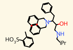 CC(C)CNCC(O)C(Cc1ccccc1)N(Cc1ccccc1)Cc1ccccc1.Cc1ccccc1S(=O)(=O)O